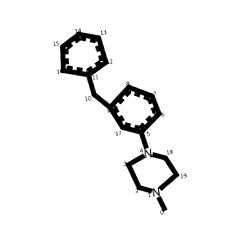 CN1CCN(c2c[c]cc(Cc3ccccc3)c2)CC1